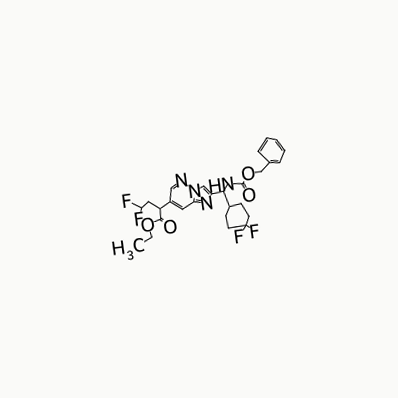 CCOC(=O)C(CC(F)F)c1cnn2cc(C(NC(=O)OCc3ccccc3)C3CCC(F)(F)CC3)nc2c1